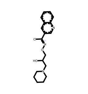 OC(CO/N=C(\Cl)c1cnc2ccccc2c1)CN1CCCCC1